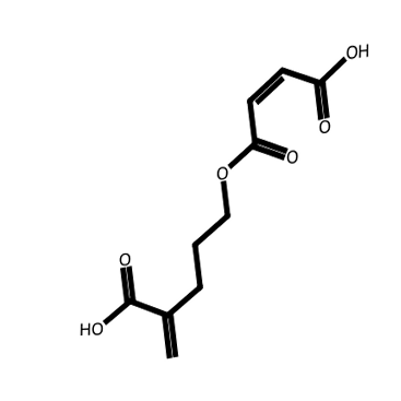 C=C(CCCOC(=O)/C=C\C(=O)O)C(=O)O